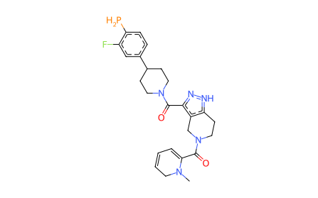 CN1CC=CC=C1C(=O)N1CCc2[nH]nc(C(=O)N3CCC(c4ccc(P)c(F)c4)CC3)c2C1